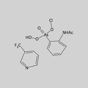 CC(=O)Nc1ccccc1[As](=O)(OO)OCl.FC(F)(F)c1cccnc1